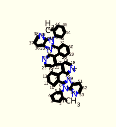 Cc1ccccc1-n1c(-c2ccccc2-c2cnccc2-c2ccncc2-c2ccccc2-c2nc3cccnc3n2-c2ccccc2C)nc2cccnc21